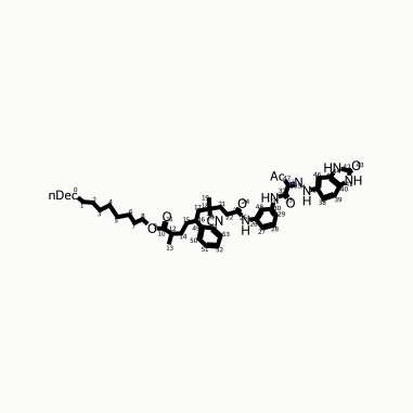 CCCCCCCCCCCCCCCCCCOC(=O)C(C)CCC(CC(C)(C#N)CCC(=O)Nc1cccc(NC(=O)/C(=N\Nc2ccc3[nH]c(=O)[nH]c3c2)C(C)=O)c1)c1ccccc1